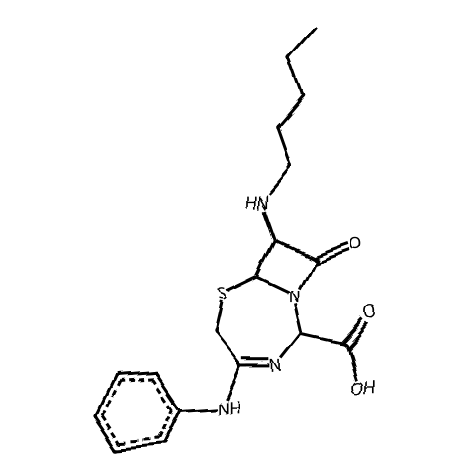 CCCCCNC1C(=O)N2C(C(=O)O)N=C(Nc3ccccc3)CSC12